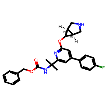 CC(C)(NC(=O)OCc1ccccc1)c1cc(-c2ccc(F)cc2)cc(OC2[C@H]3CNC[C@@H]23)n1